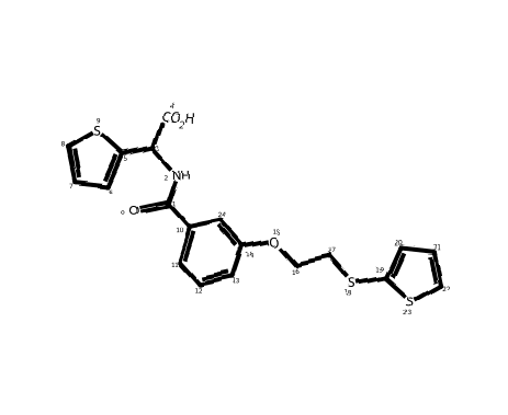 O=C(NC(C(=O)O)c1cccs1)c1cccc(OCCSc2cccs2)c1